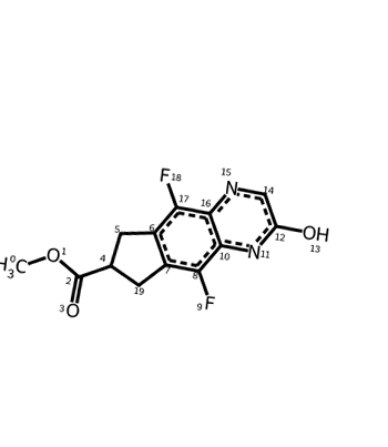 COC(=O)C1Cc2c(c(F)c3nc(O)cnc3c2F)C1